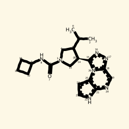 CC(C)C1CN(C(=O)NC2CCC2)C[C@@H]1c1nnc2cnc3[nH]ccc3n12